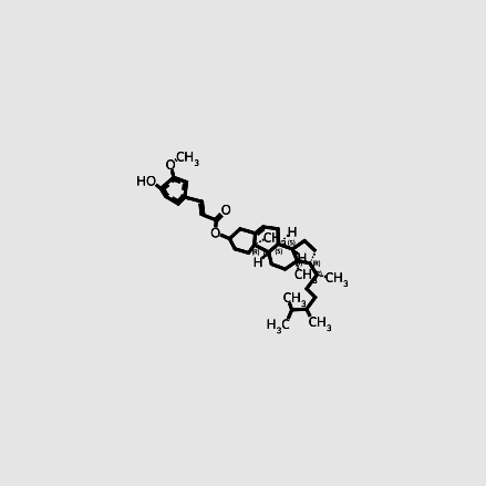 COc1cc(C=CC(=O)OC2CC[C@@]3(C)C(=CC[C@H]4[C@@H]5CC[C@H]([C@H](C)CCC(C)C(C)C)[C@@]5(C)CC[C@@H]43)C2)ccc1O